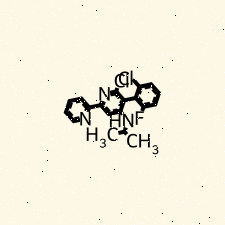 CC(C)Nc1cc(-c2ccccn2)nc(Cl)c1-c1c(F)cccc1Cl